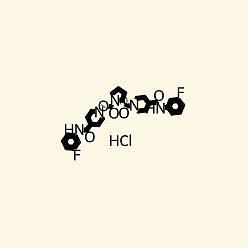 Cl.O=C(Nc1cccc(F)c1)C1CCN(OC(=O)N2CCC[C@H]2C(=O)N2CCC(C(=O)Nc3cccc(F)c3)CC2)CC1